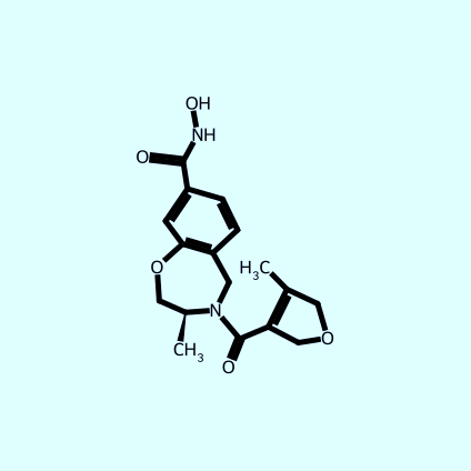 CC1=C(C(=O)N2Cc3ccc(C(=O)NO)cc3OC[C@@H]2C)COC1